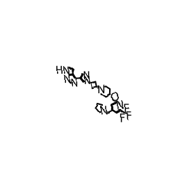 FC(F)(F)c1cc(CN2CCCC2)cc(OC2CCN(C3C[C](n4cc(-c5ncnc6[nH]ccc56)cn4)C3)CC2)n1